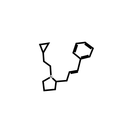 C(=Cc1ccccc1)CC1CCCN1CCC1CC1